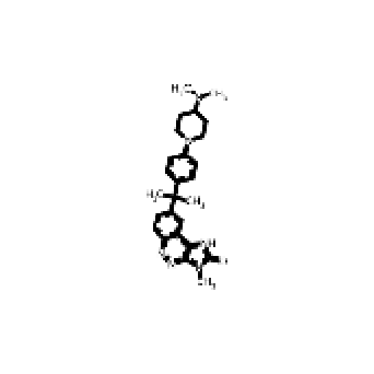 CN(C)C1CCN(c2ccc(C(C)(C)c3ccc4nnc5c([nH]c(=O)n5C)c4c3)cc2)CC1